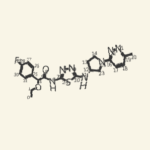 CCOC(C(=O)Nc1nnc(N[C@@H]2CCN(c3ccc(C)nn3)C2)s1)c1ccc(F)cc1